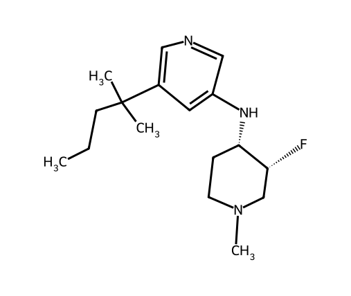 CCCC(C)(C)c1cncc(N[C@H]2CCN(C)C[C@H]2F)c1